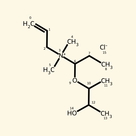 C=CC[N+](C)(C)C(CC)OC(C)C(C)O.[Cl-]